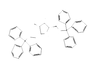 O[C@H]1[C@H](O)[C@@H](COC(c2ccccc2)(c2ccccc2)c2ccccc2)O[C@@H]1COC(c1ccccc1)(c1ccccc1)c1ccccc1